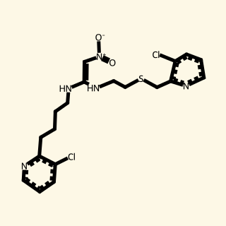 O=[N+]([O-])/C=C(/NCCCCc1ncccc1Cl)NCCSCc1ncccc1Cl